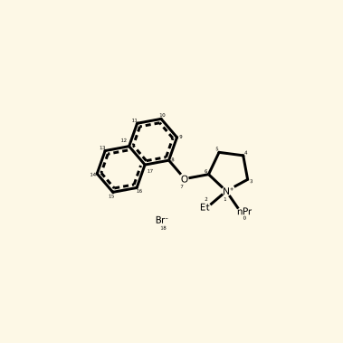 CCC[N+]1(CC)CCCC1Oc1cccc2ccccc12.[Br-]